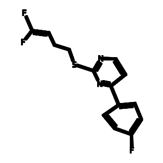 FC(F)=CCCSc1nccc(-c2ccc(F)cc2)n1